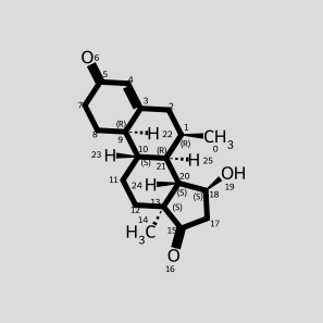 C[C@@H]1CC2=CC(=O)CC[C@@H]2[C@H]2CC[C@]3(C)C(=O)C[C@H](O)[C@H]3[C@@H]21